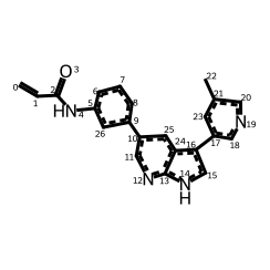 C=CC(=O)Nc1cccc(-c2cnc3[nH]cc(-c4cncc(C)c4)c3c2)c1